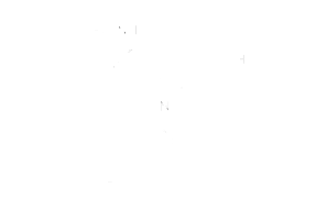 CCC(C)NC(=O)Cc1c(C)n(C(=O)c2ccc(F)c(F)c2)c2ccc(O)c(F)c12